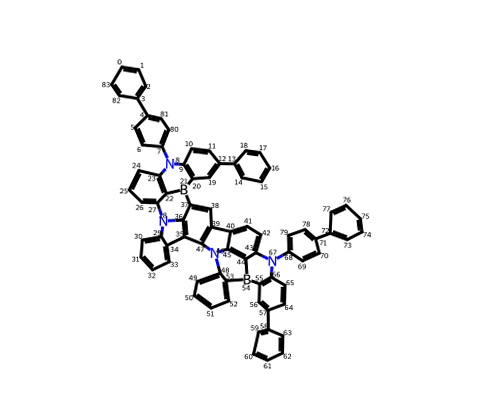 c1ccc(-c2ccc(N3c4ccc(-c5ccccc5)cc4B4c5c3cccc5-n3c5ccccc5c5c3c4cc3c4ccc6c7c4n(c35)-c3ccccc3B7c3cc(-c4ccccc4)ccc3N6c3ccc(-c4ccccc4)cc3)cc2)cc1